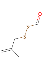 C=C(C)CSSC=O